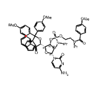 COc1ccc(C(=O)N(CCOP(=O)(O[C@H]2C[C@H](n3ccc(N)nc3=O)O[C@@H]2C(OC(c2ccccc2)(c2ccc(OC)cc2)c2ccc(OC)cc2)C(=O)c2ccccc2)N(C(C)C)C(C)C)C(C)C)cc1